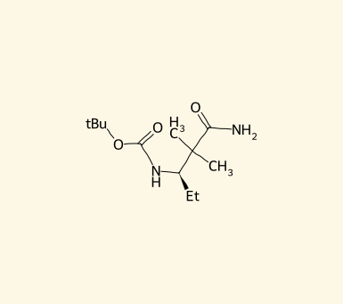 CC[C@@H](NC(=O)OC(C)(C)C)C(C)(C)C(N)=O